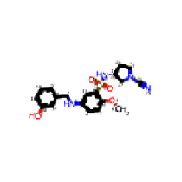 COc1ccc(NCc2cccc(O)c2)cc1S(=O)(=O)N[C@@H]1CCN(C#N)C1